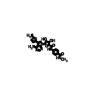 CNC(=O)c1ccc(NC(=O)[C@H]2O[C@@H](n3cc(-c4ccn(C)n4)c4c(N)ncnc43)[C@H](O)[C@@H]2O)cc1